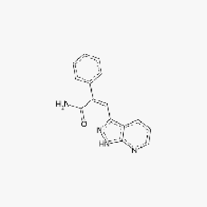 NC(=O)C(=Cc1n[nH]c2ncccc12)c1ccccc1